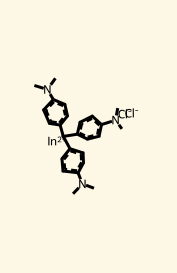 CN(C)c1ccc([C]([In+2])(c2ccc(N(C)C)cc2)c2ccc(N(C)C)cc2)cc1.[Cl-].[Cl-]